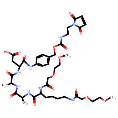 COCCOCC(=O)NCCCCC(NC(=O)COCCOC)C(=O)NC(C)C(=O)NC(C)C(=O)NC(CC(=O)O)C(=O)Nc1ccc(COC(=O)NCCN2C(=O)C=CC2=O)cc1